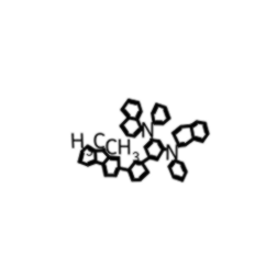 CC1(C)c2ccccc2-c2ccc(-c3cccc(-c4cc(N(c5ccccc5)c5ccc6ccccc6c5)cc(N(c5ccccc5)c5cccc6ccccc56)c4)c3)cc21